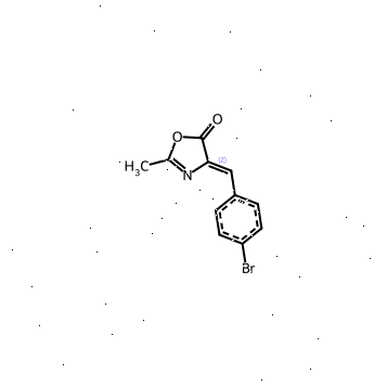 CC1=N/C(=C\c2ccc(Br)cc2)C(=O)O1